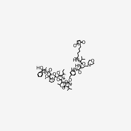 CC[C@H](C)[C@@H]([C@@H](CC(=O)N1CCC[C@H]1[C@H](OC)[C@@H](C)C(=O)N[C@H](C)[C@@H](O)c1ccccc1)OC)N(C)C(=O)[C@@H](NC(=O)[C@H](C(C)C)N(C)C(=O)OCc1ccc(NC(=O)[C@H](CCCN2CCOCC2)NC(=O)[C@@H](N[C@@H](C)CCCCCN2C(=O)C=CC2=O)C(C)C)cc1)C(C)C